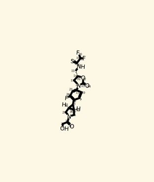 O=C(CO)N1C[C@@H]2C(c3ccc(N4C[C@H](CNC(=S)C(F)F)OC4=O)cc3F)[C@@H]2C1